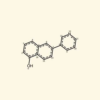 Oc1cccc2cc(-c3cccnc3)ccc12